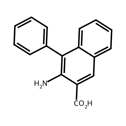 Nc1c(C(=O)O)cc2ccccc2c1-c1ccccc1